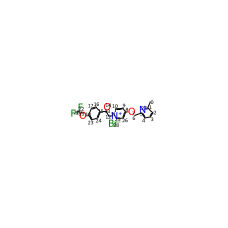 Cc1cccc(COc2cc[n+](CC(=O)c3ccc(OC(F)F)cc3)cc2)n1.[Br-]